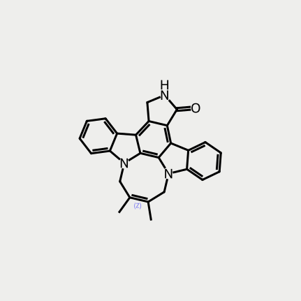 C/C1=C(\C)Cn2c3ccccc3c3c4c(c5c6ccccc6n(c5c32)C1)CNC4=O